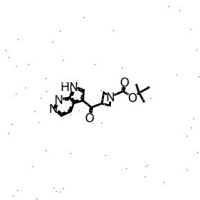 CC(C)(C)OC(=O)N1CC(C(=O)c2c[nH]c3nnccc23)C1